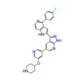 Fc1ccc(-c2nccc3[nH]c(-c4n[nH]c5ncc(-c6cncc(OC7CCNCC7)c6)cc45)cc23)cc1